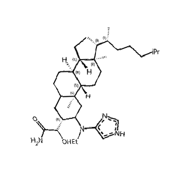 CCN(c1c[nH]cn1)C1C[C@@]2(C)C(CC[C@H]3[C@@H]4CC[C@H]([C@H](C)CCCC(C)C)[C@@]4(C)CC[C@@H]32)C[C@H]1C(O)C(N)=O